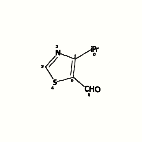 CC(C)c1ncsc1C=O